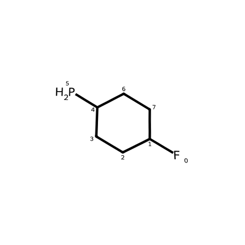 FC1CCC(P)CC1